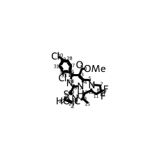 COC(=O)C1=C(CN2CC(F)(F)CC2CC(C)C(=O)O)NC(c2nccs2)=N[C@H]1c1ccc(Cl)cc1Cl